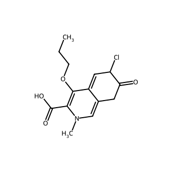 CCCOC1=C(C(=O)O)N(C)C=C2CC(=O)C(Cl)C=C21